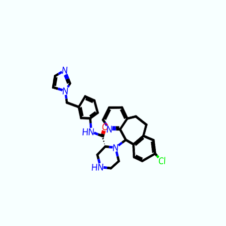 O=C(Nc1cccc(Cn2ccnc2)c1)[C@H]1CNCCN1C1c2ccc(Cl)cc2CCc2cccnc21